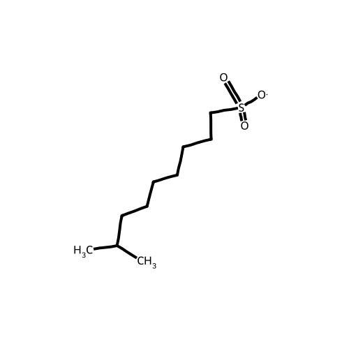 CC(C)CCCCCCCS([O])(=O)=O